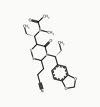 CC[C@H](c1ccc2c(c1)OCO2)N1C(=O)C([C@H](CC)N(C)C(C)=O)SSC1CCC#N